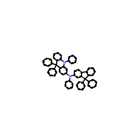 c1ccc(N(c2ccc3c(c2)N(c2ccccc2)c2ccccc2C3(c2ccccc2)c2ccccc2)c2ccc3c(c2)C(c2ccccc2)(c2ccccc2)c2ccccc2-3)cc1